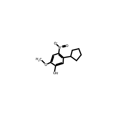 COc1cc([N+](=O)[O-])c(C2CCCC2)cc1O